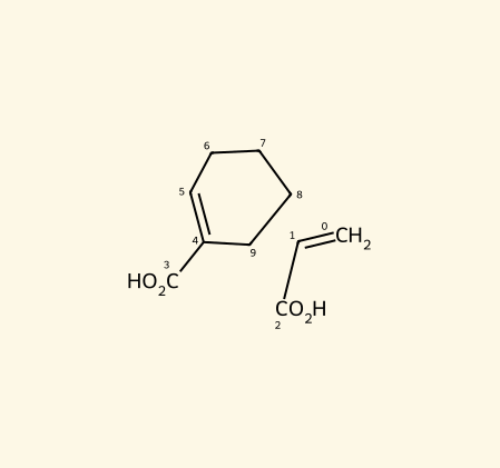 C=CC(=O)O.O=C(O)C1=CCCCC1